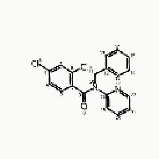 O=C(c1ccc(Cl)cc1Cl)N(Cc1ccccc1)c1ccccn1